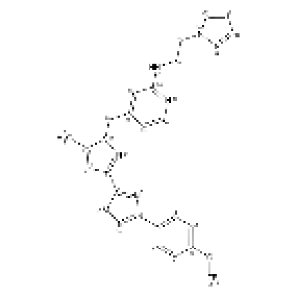 Cc1cc(-c2nc(-c3ccc(OC(F)(F)F)cc3)no2)nn1Cc1ccnc(NCCn2cccn2)c1